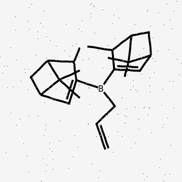 C=CCB(C1=CC2CC(C1C)C2(C)C)C1=CC2CC(C1C)C2(C)C